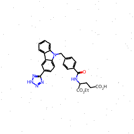 CCOC(=O)C(CCC(=O)O)NC(=O)c1ccc(Cn2c3ccccc3c3cc(-c4nn[nH]n4)ccc32)cc1